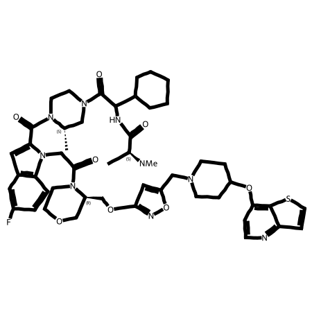 CN[C@@H](C)C(=O)NC(C(=O)N1CCN(C(=O)c2cc3cc(F)ccc3n2CC(=O)N2CCOC[C@@H]2COc2cc(CN3CCC(Oc4ccnc5ccsc45)CC3)on2)[C@@H](C)C1)C1CCCCC1